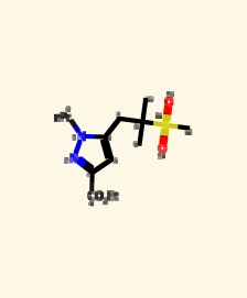 CCCn1nc(C(=O)OCC)cc1CC(C)(C)S(C)(=O)=O